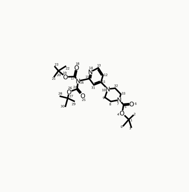 CC(C)(C)OC(=O)N1CCN(c2ccnc(N(C(=O)OC(C)(C)C)C(=O)OC(C)(C)C)c2)CC1